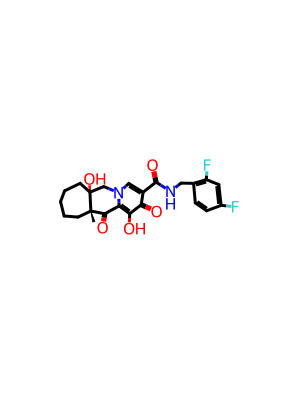 C[C@@]12CCCCC[C@]1(O)Cn1cc(C(=O)NCc3ccc(F)cc3F)c(=O)c(O)c1C2=O